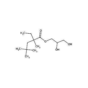 CCC(C)(CC(C)(C)C)C(=O)OCC(O)CO